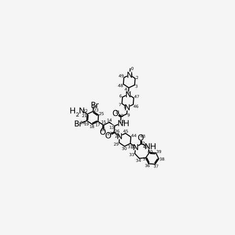 CN1CCC(N2CCN(CC(=O)N[C@H](CC(=O)c3cc(Br)c(N)c(Br)c3)C(=O)N3CCC(N4CCc5ccccc5NC4=O)CC3)CC2)CC1